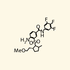 COCC[C@@H]1CCC(C)C1S(=O)(=O)c1cc(C(=O)Nc2cc(F)c(F)c(F)c2)ccc1N